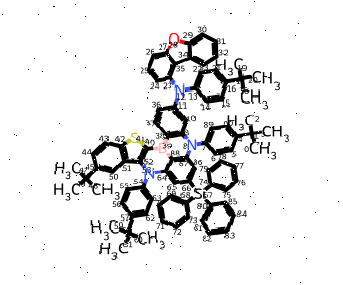 CC(C)(C)c1ccc(N2c3cc(N(c4ccc(C(C)(C)C)cc4)c4cccc5oc6ccccc6c45)ccc3B3c4sc5ccc(C(C)(C)C)cc5c4N(c4ccc(C(C)(C)C)cc4)c4cc([Si](c5ccccc5)(c5ccccc5)c5ccccc5)cc2c43)cc1